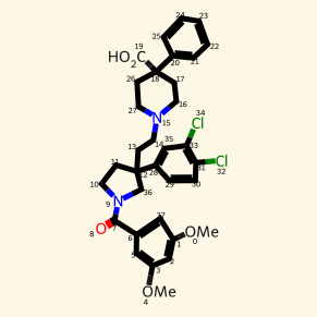 COc1cc(OC)cc(C(=O)N2CCC(CCN3CCC(C(=O)O)(c4ccccc4)CC3)(c3ccc(Cl)c(Cl)c3)C2)c1